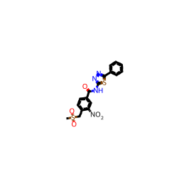 CS(=O)(=O)Cc1ccc(C(=O)Nc2nnc(-c3ccccc3)s2)cc1[N+](=O)[O-]